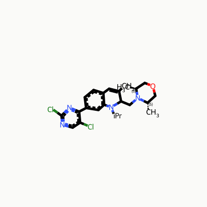 CC1=Cc2ccc(-c3nc(Cl)ncc3Cl)cc2N(C(C)C)C1CN1[C@@H](C)COC[C@@H]1C